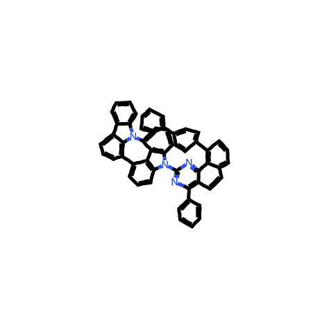 c1ccc(-c2ccc(-c3cccc4ccc5c(-c6ccccc6)nc(-n6c7cccc8c9cccc%10c%11ccccc%11n(c%11cccc6c%11c87)c9%10)nc5c34)cc2)cc1